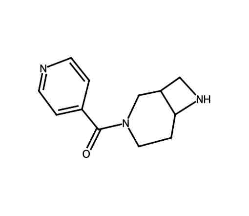 O=C(c1ccncc1)N1CCC2NCC2C1